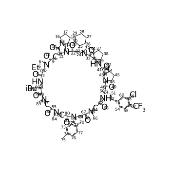 CC[C@H](C)[C@@H]1NC(=O)[C@H](CC)N(C)C(=O)C[C@@H](C(=O)N2CCCC2)N(C)C(=O)[C@H](C2CCCCC2)N(C)C(=O)C2(CCCC2)NC(=O)[C@@H]2CCCN2C(=O)[C@H](CCc2ccc(C(F)(F)F)c(Cl)c2)NC(=O)CN(C)C(=O)[C@H](Cc2ccc(C)cc2)N(C)C(=O)CN(C)C(=O)CN(C)C1=O